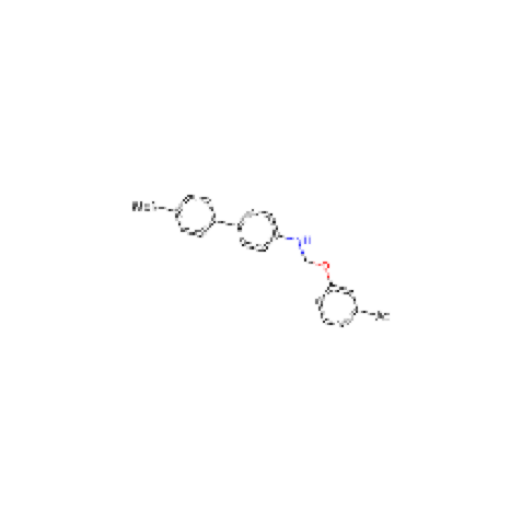 CNc1ccc(-c2ccc(NCOc3cccc(C(C)=O)c3)cc2)cc1